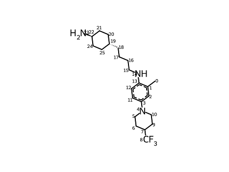 Cc1cc(N2CCC(C(F)(F)F)CC2)ccc1NCCCC[C@H]1CC[C@H](N)CC1